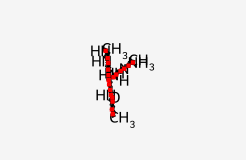 CCCCCCCCC(=O)NCCCCCCC(CNCCCCNCCCNC)CNCCCCNCCCNC